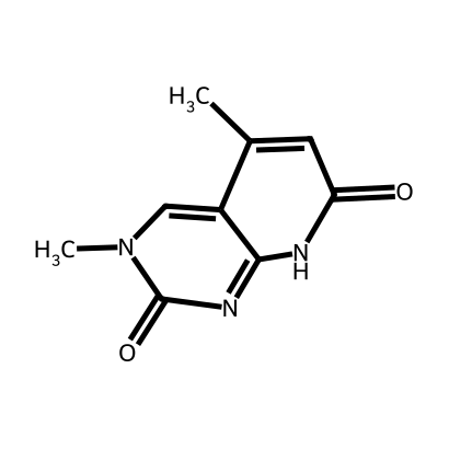 Cc1cc(=O)[nH]c2nc(=O)n(C)cc12